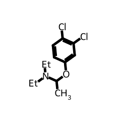 CCN(CC)C(C)Oc1ccc(Cl)c(Cl)c1